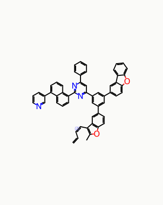 C=C/C=C\c1c(C)oc2ccc(-c3cc(-c4ccc5oc6ccccc6c5c4)cc(-c4cc(-c5ccccc5)nc(-c5cccc6c(-c7cccnc7)cccc56)n4)c3)cc12